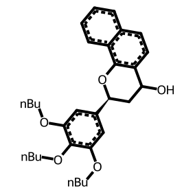 CCCCOc1cc([C@@H]2CC(O)c3ccc4ccccc4c3O2)cc(OCCCC)c1OCCCC